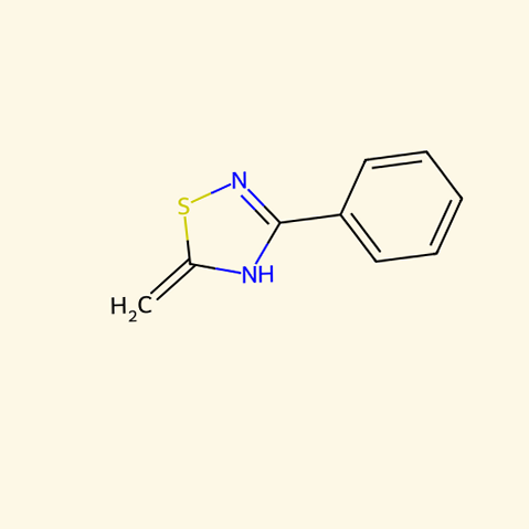 C=C1NC(c2ccccc2)=NS1